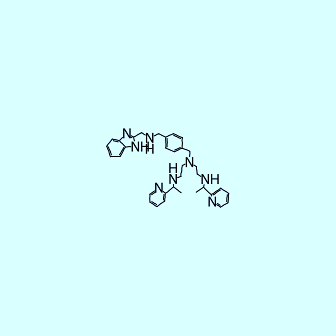 CC(NCCN(CCNC(C)c1ccccn1)Cc1ccc(CNCc2nc3ccccc3[nH]2)cc1)c1ccccn1